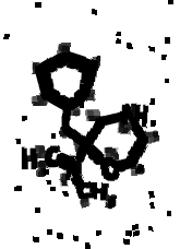 CN(C)C1(Cc2ccccc2)CNCCO1